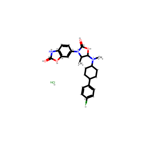 CC1C(N(C)C2CCC(c3ccc(F)cc3)CC2)OC(=O)N1c1ccc2[nH]c(=O)oc2c1.Cl